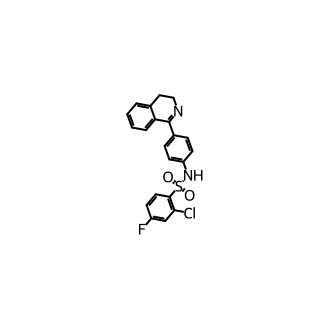 O=S(=O)(Nc1ccc(C2=NCCc3ccccc32)cc1)c1ccc(F)cc1Cl